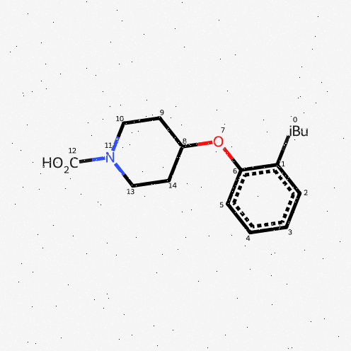 CCC(C)c1ccccc1OC1CCN(C(=O)O)CC1